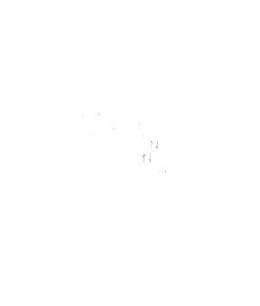 Cc1ccc2nn(C3CCCCO3)cc2c1C=O